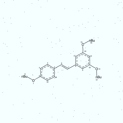 CCCCOc1ccc(/C=C/c2cc(OCCCC)cc(OCCCC)c2)cc1